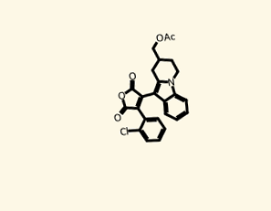 CC(=O)OCC1CCn2c(c(C3=C(c4ccccc4Cl)C(=O)OC3=O)c3ccccc32)C1